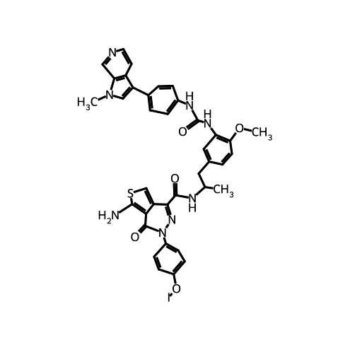 COc1ccc(CC(C)NC(=O)c2nn(-c3ccc(OI)cc3)c(=O)c3c(N)scc23)cc1NC(=O)Nc1ccc(-c2cn(C)c3cnccc23)cc1